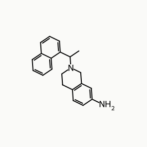 CC(c1cccc2ccccc12)N1CCc2ccc(N)cc2C1